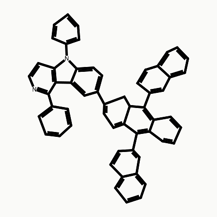 C1=C(c2ccc3c(c2)c2c(-c4ccccc4)nccc2n3-c2ccccc2)CC2C(=C1)C(c1ccc3ccccc3c1)=c1ccccc1=C2c1ccc2ccccc2c1